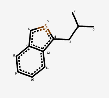 C[C](C)Cc1scc2ccccc12